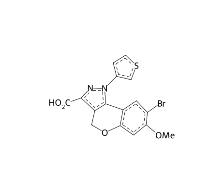 COc1cc2c(cc1Br)-c1c(c(C(=O)O)nn1-c1ccsc1)CO2